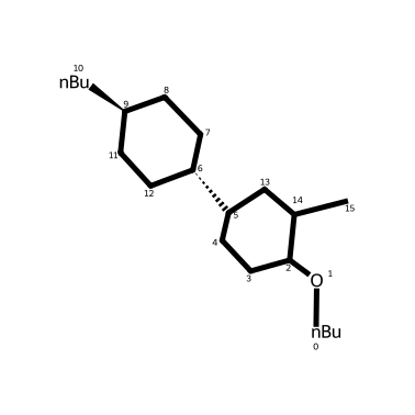 CCCCOC1CCC([C@H]2CC[C@H](CCCC)CC2)CC1C